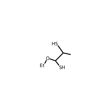 CCOC(S)C(C)S